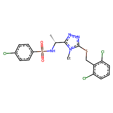 CCn1c(SCc2c(Cl)cccc2Cl)nnc1[C@@H](C)NS(=O)(=O)c1ccc(Cl)cc1